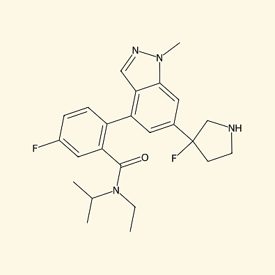 CCN(C(=O)c1cc(F)ccc1-c1cc(C2(F)CCNC2)cc2c1cnn2C)C(C)C